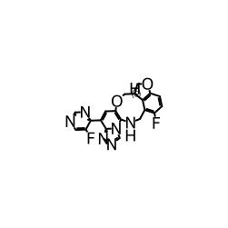 Fc1cncnc1-c1cc2c(n3cnnc13)NCc1c(F)ccc3c1[C@@H](CO3)CO2